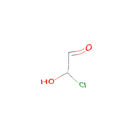 O=CC(O)Cl